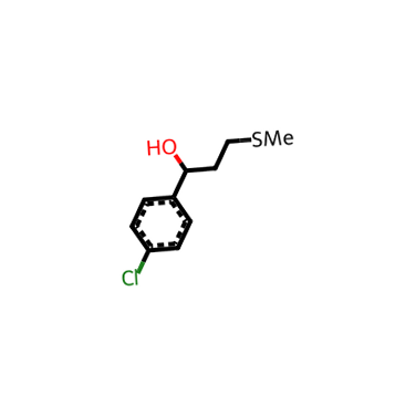 CSCCC(O)c1ccc(Cl)cc1